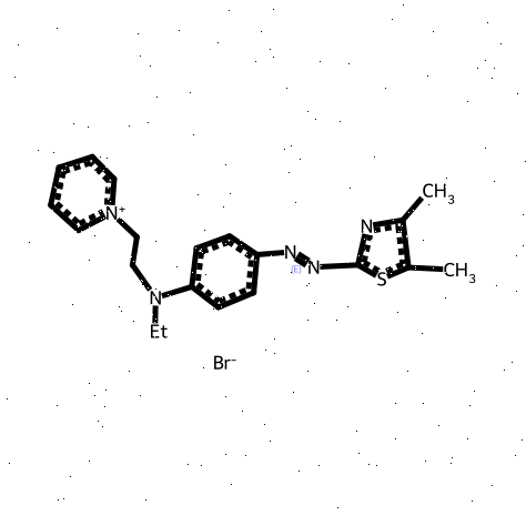 CCN(CC[n+]1ccccc1)c1ccc(/N=N/c2nc(C)c(C)s2)cc1.[Br-]